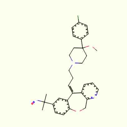 COC1(c2ccc(Cl)cc2)CCN(CC/C=C2/c3cc(C(C)(C)N=O)ccc3OCc3ncccc32)CC1